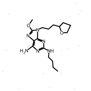 CCCCNc1nc(N)c2nc(OC)n(CCCC3CCCO3)c2n1